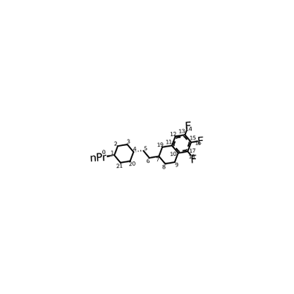 CCC[C@H]1CC[C@H](CCC2CCc3c(cc(F)c(F)c3F)C2)CC1